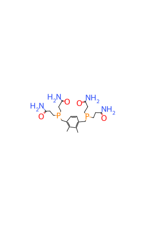 Cc1c(CP(CCC(N)=O)CCC(N)=O)ccc(CP(CCC(N)=O)CCC(N)=O)c1C